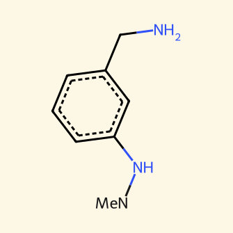 CNNc1cccc(CN)c1